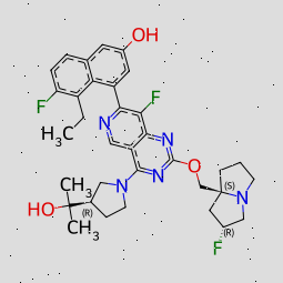 CCc1c(F)ccc2cc(O)cc(-c3ncc4c(N5CC[C@@H](C(C)(C)O)C5)nc(OC[C@@]56CCCN5C[C@H](F)C6)nc4c3F)c12